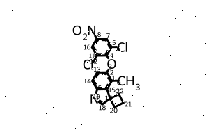 Cc1c(Oc2c(Cl)cc([N+](=O)[O-])cc2Cl)ccc2c1C1(C=N2)CCC1